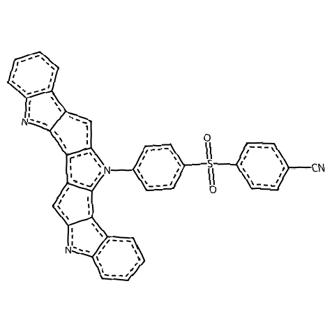 N#Cc1ccc(S(=O)(=O)c2ccc(-n3c4cc5c6ccccc6nc-5c4c4cc5nc6ccccc6c-5c43)cc2)cc1